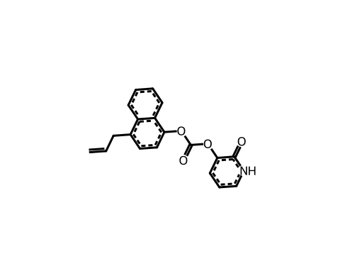 C=CCc1ccc(OC(=O)Oc2ccc[nH]c2=O)c2ccccc12